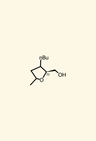 CCCCC1CC(C)O[C@@H]1CO